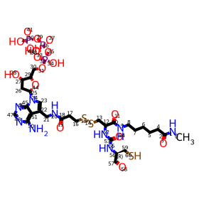 CNC(=O)CCCCCNC(=O)C(CSSCCC(=O)NCc1cn(C2CC(O)C(COP(=O)(O)OP(=O)(O)OP(=O)(O)O)O2)c2ncnc(N)c12)NC(=O)N[C@H](C=O)CS